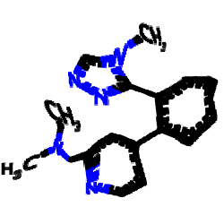 CN(C)c1cc(-c2ccccc2-c2nncn2C)ccn1